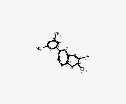 Cc1cc(C)cc(-c2ccc3c(n2)C=C(C(C)C)C(C)C3)c1